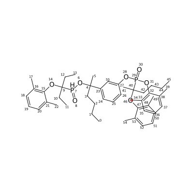 CCCCC(C)(O[PH](=O)C(CC)(CC)Oc1c(C)cccc1C)c1cccc(OP(=O)(Oc2c(C)cccc2C)C(C)(CCCC)Oc2c(C)cccc2C)c1